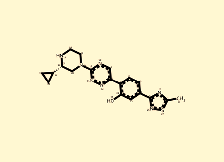 Cc1nc(-c2ccc(-c3cnc(N4CCN[C@@H](C5CC5)C4)nn3)c(O)c2)ns1